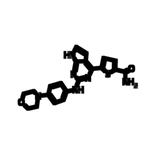 NC(=O)c1ccc(-c2nc(Nc3ccc(N4CCOCC4)cc3)nc3[nH]ccc23)s1